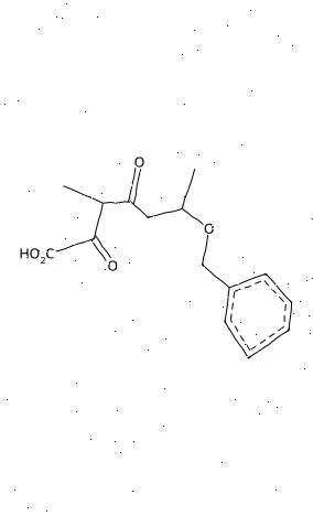 CC(CC(=O)C(C)C(=O)C(=O)O)OCc1ccccc1